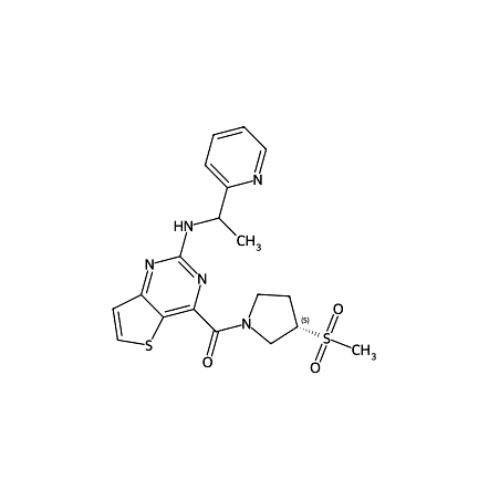 CC(Nc1nc(C(=O)N2CC[C@H](S(C)(=O)=O)C2)c2sccc2n1)c1ccccn1